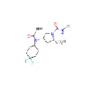 CCNC(=O)N1C[C@@H](N(C(=O)C(C)(C)C)C2CCC(F)(F)CC2)C[C@H]1C(=O)O